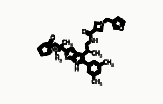 Cc1cc(C)cc(-c2[nH]c3sc(C(C)(C)CC4C5CCC4C(=O)N5)cc3c2[C@H](C)CNC(=O)C2CN(Cc3ccoc3)C2)c1